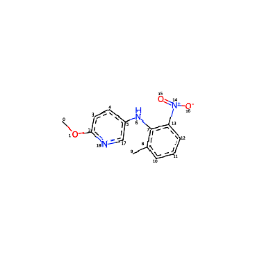 COc1ccc(Nc2c(C)cccc2[N+](=O)[O-])cn1